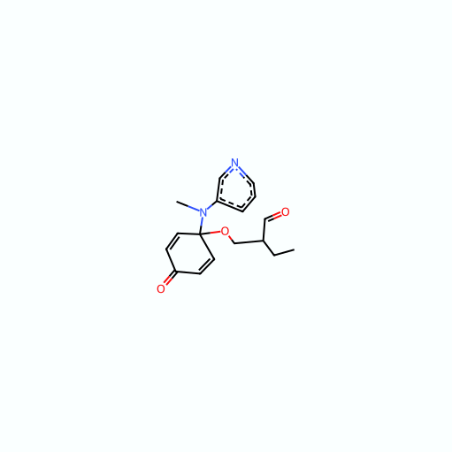 CCC(C=O)COC1(N(C)c2cccnc2)C=CC(=O)C=C1